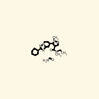 CCN(C)C(=O)c1cnn(C)c1-c1ccn2nc(-c3ccccc3)nc2c1.NC=O